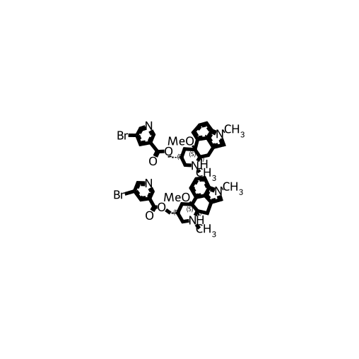 CO[C@]12C[C@@H](COC(=O)c3cncc(Br)c3)CN(C)[C@@H]1Cc1cn(C)c3cccc2c13.CO[C@]12C[C@@H](COC(=O)c3cncc(Br)c3)CN(C)[C@@H]1Cc1cn(C)c3cccc2c13